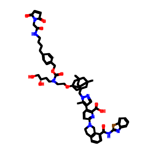 Cc1c(-c2ccc(N3CCc4cccc(C(=O)Nc5nc6ccccc6s5)c4C3)nc2C(=O)O)cnn1CC12CC3(C)CC(C)(C1)CC(OCCN(CC[C@H](O)CO)C(=O)OCc1[c]cc(CCCCNC(=O)CN4C(=O)C=CC4=O)cc1)(C3)C2